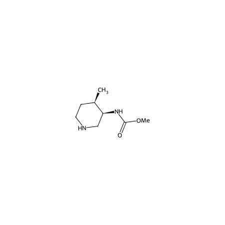 COC(=O)N[C@H]1CNCC[C@H]1C